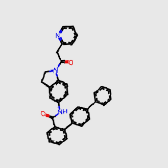 O=C(Nc1ccc2c(c1)CCN2C(=O)Cc1ccccn1)c1ccccc1-c1ccc(-c2ccccc2)cc1